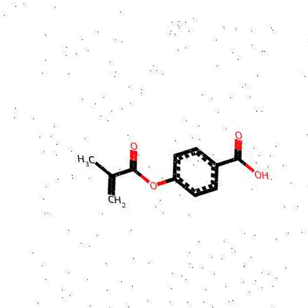 C=C(C)C(=O)Oc1ccc(C(=O)O)cc1